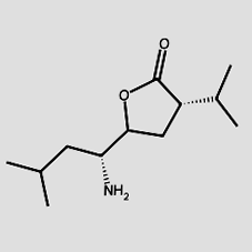 CC(C)C[C@@H](N)C1C[C@@H](C(C)C)C(=O)O1